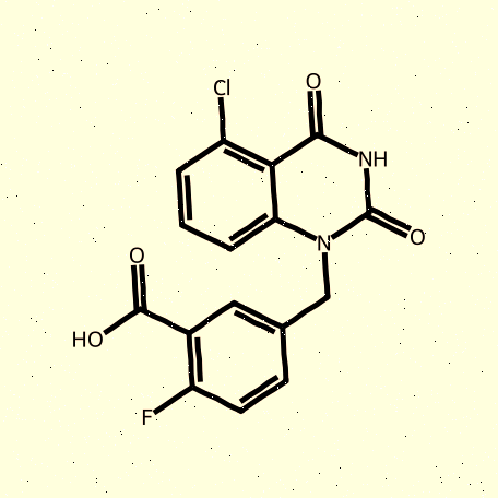 O=C(O)c1cc(Cn2c(=O)[nH]c(=O)c3c(Cl)cccc32)ccc1F